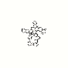 CC1(C)CCC(C)(C)C2=C1C=C(N1c3cc4oc5cc6c(cc5c4cc3B3c4c(cc5c(c41)C(C)(C)c1ccccc1-5)-c1cc4ccccc4cc1N3c1ccc(-c3ccccc3)cc1)C(C)(C)CCC6(C)C)C#CC2